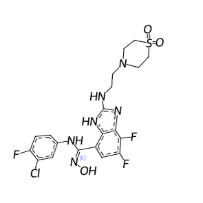 O=S1(=O)CCN(CCNc2nc3c(F)c(F)cc(/C(=N\O)Nc4ccc(F)c(Cl)c4)c3[nH]2)CC1